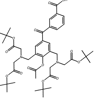 CC(=O)Oc1c(CN(CC(=O)OC(C)(C)C)CC(=O)OC(C)(C)C)cc(C(=O)c2cccc(C(=O)O)c2)cc1CN(CC(=O)OC(C)(C)C)CC(=O)OC(C)(C)C